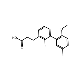 COc1ccc(C)cc1-c1cccc(CCC(=O)O)c1C